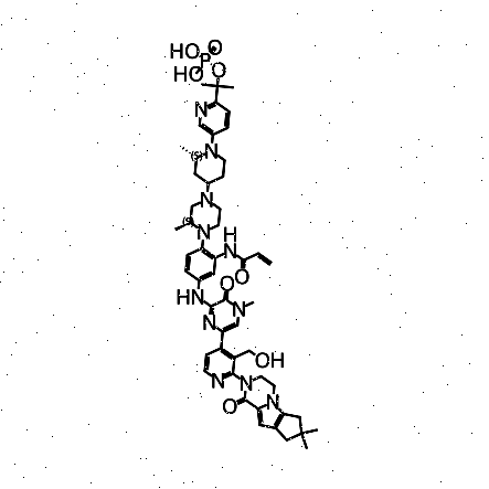 C=CC(=O)Nc1cc(Nc2nc(-c3ccnc(N4CCn5c(cc6c5CC(C)(C)C6)C4=O)c3CO)cn(C)c2=O)ccc1N1CCN(C2CCN(c3ccc(C(C)(C)OP(=O)(O)O)nc3)[C@@H](C)C2)C[C@@H]1C